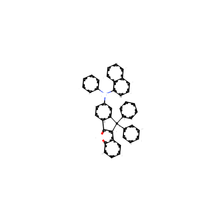 c1ccc(N(c2ccc3c(c2)C(c2ccccc2)(c2ccccc2)c2c-3oc3ccccc23)c2cccc3ccccc23)cc1